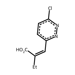 CCC(=Cc1ccc(Cl)nn1)C(=O)O